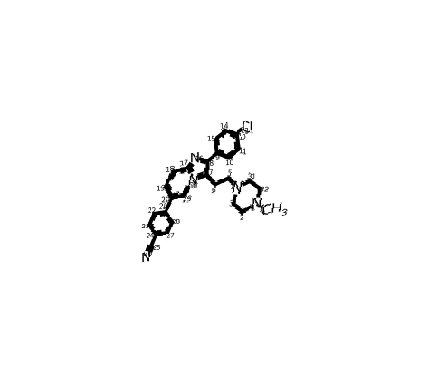 CN1CCN(CCc2c(-c3ccc(Cl)cc3)nc3ccc(-c4ccc(C#N)cc4)cn23)CC1